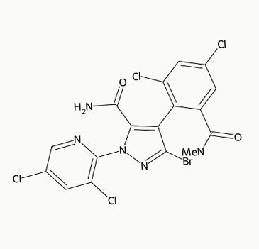 CNC(=O)c1cc(Cl)cc(Cl)c1-c1c(Br)nn(-c2ncc(Cl)cc2Cl)c1C(N)=O